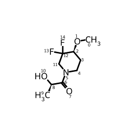 CO[C@H]1CCN(C(=O)[C@@H](C)O)CC1(F)F